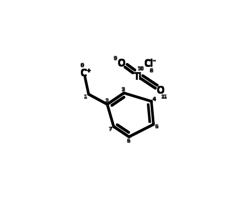 [CH2+]Cc1ccccc1.[Cl-].[O]=[Ti]=[O]